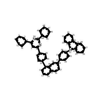 c1ccc(-c2cc(-c3ccc(-c4cccc5ccc(-c6ccc(-n7c8ccccc8c8ccccc87)cc6)cc45)cc3)nc(-c3ccccc3)n2)cc1